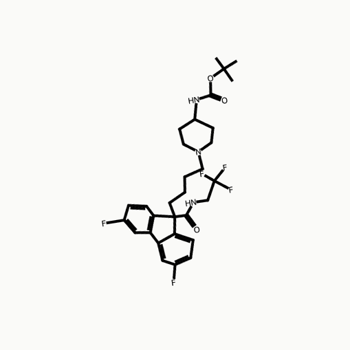 CC(C)(C)OC(=O)NC1CCN(CCCCC2(C(=O)NCC(F)(F)F)c3ccc(F)cc3-c3cc(F)ccc32)CC1